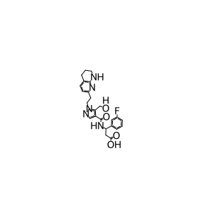 O=C(O)CC(NC(=O)c1cnn(CCc2ccc3c(n2)NCCC3)c1CO)c1cccc(F)c1